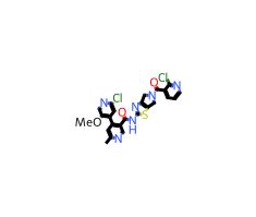 COc1cnc(Cl)cc1-c1cc(C)ncc1C(=O)Nc1nc2c(s1)CN(C(=O)c1cccnc1Cl)C2